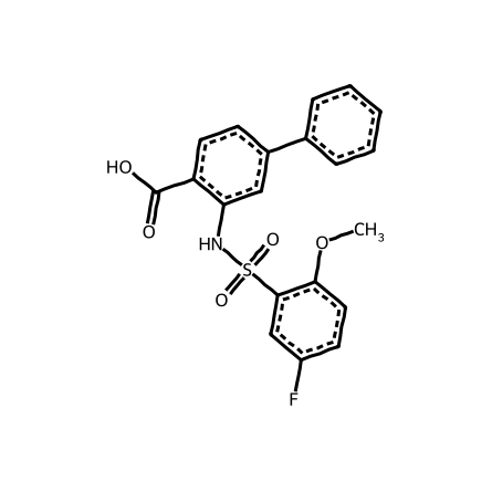 COc1ccc(F)cc1S(=O)(=O)Nc1cc(-c2ccccc2)ccc1C(=O)O